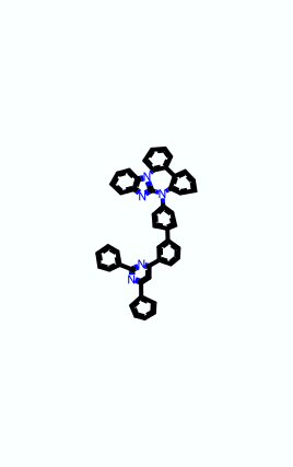 c1ccc(-c2cc(-c3cccc(-c4ccc(N5c6ccccc6-c6ccccc6-n6c5nc5ccccc56)cc4)c3)nc(-c3ccccc3)n2)cc1